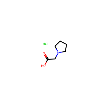 Cl.O=C(O)CN1CCCC1